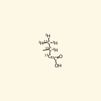 [2H][12C]([2H])([2H])[13C@@]([2H])(C)[13CH2][13C](=O)O